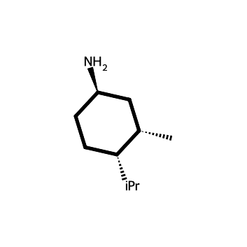 CC(C)[C@@H]1CC[C@@H](N)C[C@@H]1C